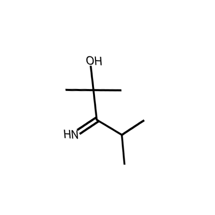 CC(C)C(=N)C(C)(C)O